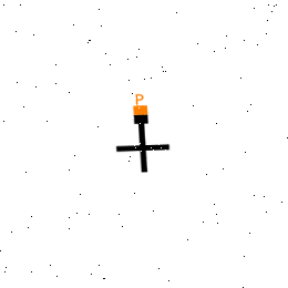 CC(C)(C)C#P